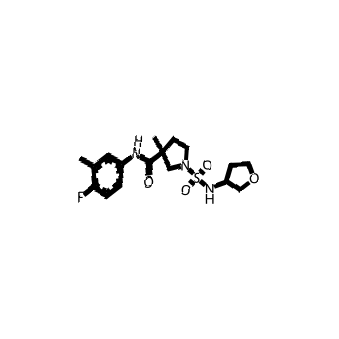 Cc1cc(NC(=O)C2(C)CCN(S(=O)(=O)NC3CCOC3)C2)ccc1F